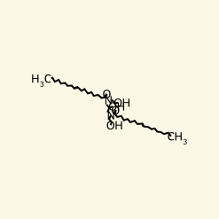 CCCCCCCCC=CCCCCCCCC(=O)N(CCO)CC(O)CN(CCO)C(=O)CCCCCCCC=CCCCCCCCC